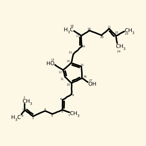 CC(C)=CCC/C(C)=C/Cc1cc(O)c(C/C=C(\C)CCC=C(C)C)cc1O